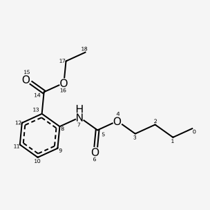 CCCCOC(=O)Nc1ccccc1C(=O)OCC